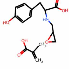 C=C(C)C(=O)O.O=C(O)C(Cc1ccc(O)cc1)NCC1CO1